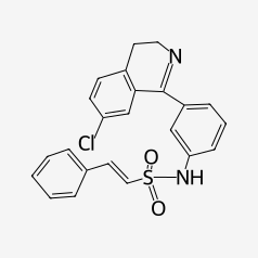 O=S(=O)(C=Cc1ccccc1)Nc1cccc(C2=NCCc3ccc(Cl)cc32)c1